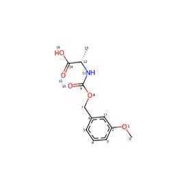 COc1cccc(COC(=O)N[C@@H](C)C(=O)O)c1